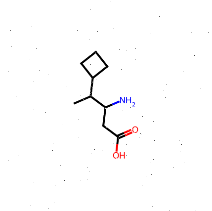 CC(C(N)CC(=O)O)C1CCC1